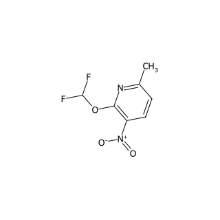 Cc1ccc([N+](=O)[O-])c(OC(F)F)n1